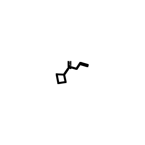 C=CCNC1CCC1